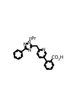 CCCn1nc(-c2ccccc2)nc1Cc1ccc(-c2ccccc2C(=O)O)cn1